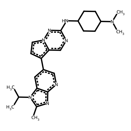 Cc1nc2ncc(-c3ccn4nc(NC5CCC(N(C)C)CC5)ncc34)cc2n1C(C)C